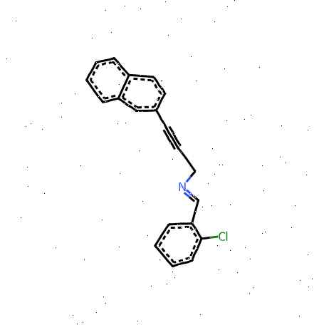 Clc1ccccc1/C=N/CC#Cc1ccc2ccccc2c1